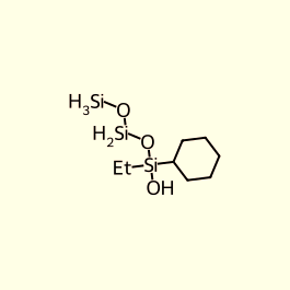 CC[Si](O)(O[SiH2]O[SiH3])C1CCCCC1